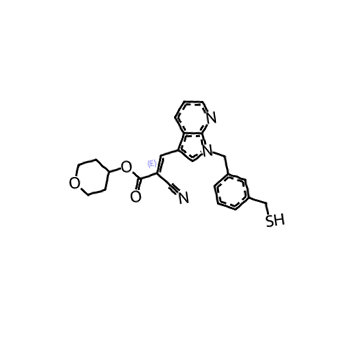 N#C/C(=C\c1cn(Cc2cccc(CS)c2)c2ncccc12)C(=O)OC1CCOCC1